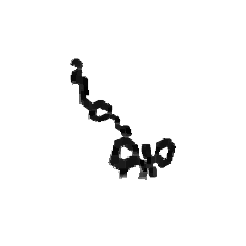 CCO/N=C/c1ccc(CCOc2ccc(C)c(NS(=O)(=O)c3ccccc3)c2)cc1